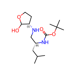 CC(C)C[C@H](CN[C@H]1CCOC1O)NC(=O)OC(C)(C)C